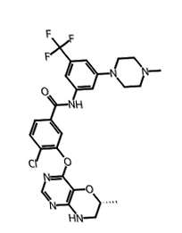 C[C@@H]1CNc2ncnc(Oc3cc(C(=O)Nc4cc(N5CCN(C)CC5)cc(C(F)(F)F)c4)ccc3Cl)c2O1